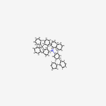 c1ccc(-c2ccccc2-c2ccc(N(c3cccc4c3-c3ccccc3C4(c3ccccc3)c3ccccc3)c3cccc4ccccc34)cc2)cc1